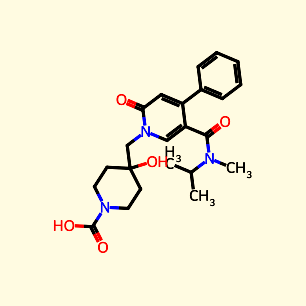 CC(C)N(C)C(=O)c1cn(CC2(O)CCN(C(=O)O)CC2)c(=O)cc1-c1ccccc1